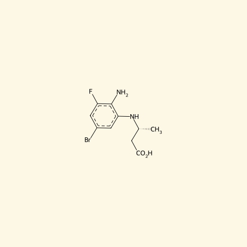 C[C@H](CC(=O)O)Nc1cc(Br)cc(F)c1N